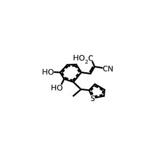 CC(c1cccs1)c1c(C=C(C#N)C(=O)O)ccc(O)c1O